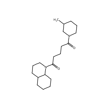 CC1CCCN(C(=O)CCCC(=O)N2CCCC3CCCCC32)C1